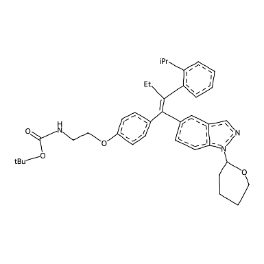 CCC(=C(c1ccc(OCCNC(=O)OC(C)(C)C)cc1)c1ccc2c(cnn2C2CCCCO2)c1)c1ccccc1C(C)C